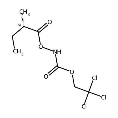 CC[C@H](C)C(=O)ONC(=O)OCC(Cl)(Cl)Cl